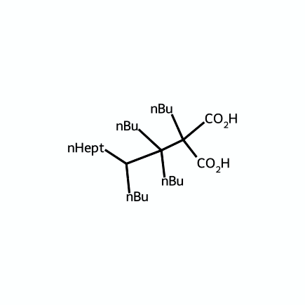 CCCCCCCC(CCCC)C(CCCC)(CCCC)C(CCCC)(C(=O)O)C(=O)O